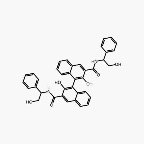 O=C(NC(CO)c1ccccc1)c1cc2ccccc2c(-c2c(O)c(C(=O)NC(CO)c3ccccc3)cc3ccccc23)c1O